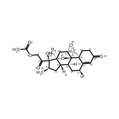 CC(=O)OCC(=O)[C@@]1(O)[C@H](C)C[C@H]2[C@@H]3C[C@H](F)C4=CC(=O)CC[C@]4(C)[C@@]3(Cl)[C@@H](Cl)C[C@@]21C